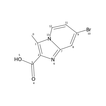 Cc1c(C(=O)O)nc2cc(Br)ccn12